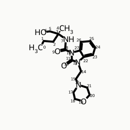 CCC[C@@](C)(CO)NC(=O)n1c(=O)n(CCN2CCOCC2)c2ccccc21